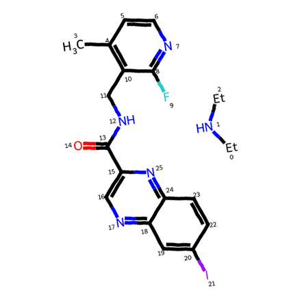 CCNCC.Cc1ccnc(F)c1CNC(=O)c1cnc2cc(I)ccc2n1